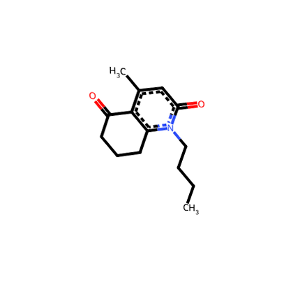 CCCCn1c2c(c(C)cc1=O)C(=O)CCC2